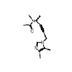 CC(=O)N(C)C(C)C#CCn1cnc(C)c1C